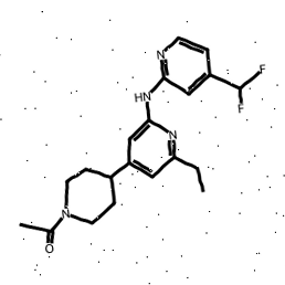 CCc1cc(C2CCN(C(C)=O)CC2)cc(Nc2cc(C(F)F)ccn2)n1